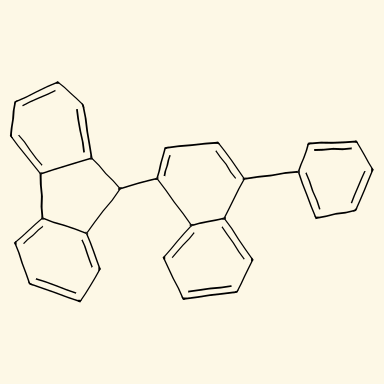 c1ccc(-c2ccc(C3c4ccccc4-c4ccccc43)c3ccccc23)cc1